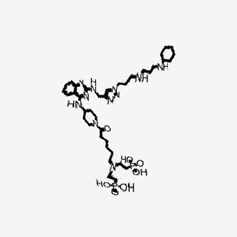 O=C(CCCCCN(CCP(=O)(O)O)CCP(=O)(O)O)N1CCC(Nc2nc(NCc3cn(CCCNCCCNC4CCCCC4)nn3)nc3ccccc23)CC1